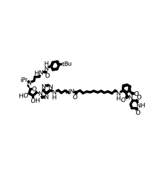 CC(C)N(CCCNC(=O)Nc1ccc(C(C)(C)C)cc1)C[C@H]1O[C@@H](n2cnc3c(NCCCCNC(=O)CCCCCCCCCCCNc4cccc5c4C(=O)N(C4CCC(=O)NC4=O)C5=O)ncnc32)C(O)C1O